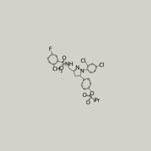 Cc1ccc(F)cc1S(=O)(=O)NCC1=NN(c2ccc(Cl)cc2Cl)C(c2ccc(OS(=O)(=O)C(C)C)cc2)C1